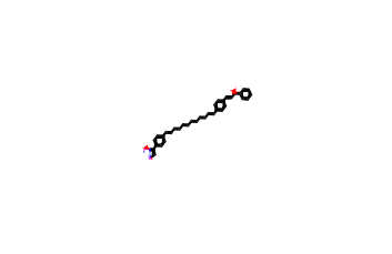 O=C1C=C(c2ccc(CCCCCCCCCCCCc3ccc(C=CC(=O)c4ccccc4)cc3)cc2)C(=O)N1